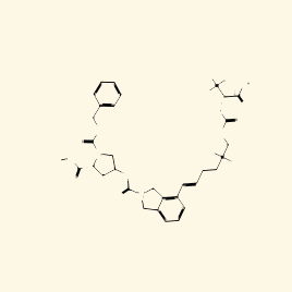 COC(=O)[C@@H]1CC(OC(=O)N2Cc3cccc(/C=C/CCC(C)(C)COC(=O)N[C@H](C(=O)O)C(C)(C)C)c3C2)CN1C(=O)OCc1ccccc1